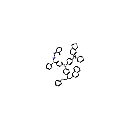 C=C(/C=C\C(=C)N(c1ccc(C(CCc2ccccc2)Cc2ccc3ccccc3c2)cc1)C1C=CC(N(c2ccccc2)c2ccc3c(c2)CCC=C3)=CC1)N(/C=C/C=c1/ccccc1=C)c1ccccc1